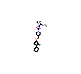 CC(C)c1noc(N2CCC(COc3ccc(C4=CC[CH]CC4)c(F)c3)CC2)n1